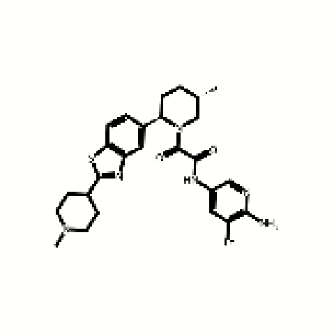 CCc1cc(NC(=O)C(=O)N2C[C@@H](C)CC[C@@H]2c2ccc3sc(C4CCN(C)CC4)nc3c2)cnc1N